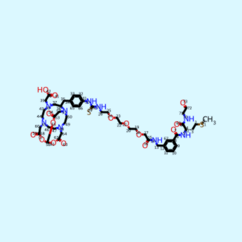 CSCC[C@H](NC(=O)c1cccc(CNC(=O)COCCOCCOCCNC(=S)Nc2ccc(CC3CN(CC(=O)O)CCN4CCN5CCN3CC(=O)OC(OC(=O)C4)OC(=O)C5)cc2)c1)C(=O)NCC=O